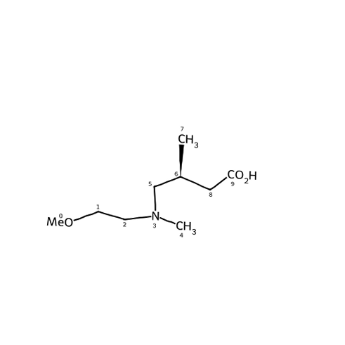 COCCN(C)C[C@@H](C)CC(=O)O